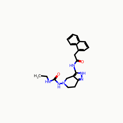 CCNC(=O)NN1CCc2n[nH]c(NC(=O)Cc3cccc4ccccc34)c2C1